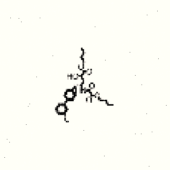 CCCCOC(=O)C(=O)N[C@H](Cc1ccc(-c2cccc(Cl)c2)cc1)C[C@@H](O)C(=O)OCCCC